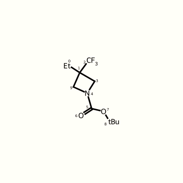 CCC1(C(F)(F)F)CN(C(=O)OC(C)(C)C)C1